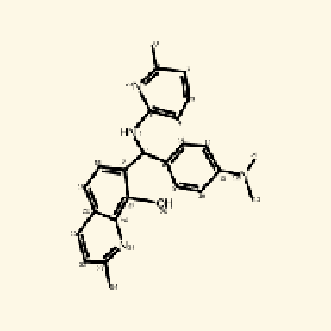 Cc1cccc(NC(c2ccc(N(C)C)cc2)c2ccc3ccc(C)nc3c2O)n1